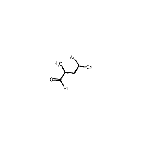 CCC(=O)C(C)CC(C#N)C(C)=O